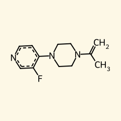 C=C(C)N1CCN(c2ccncc2F)CC1